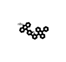 CCCCC1=c2ccccc2=C(c2ccc3c(c2)sc2c(-c4c5ccccc5c(-c5ccccc5)c5ccccc45)cccc23)C2C=CC=CC12